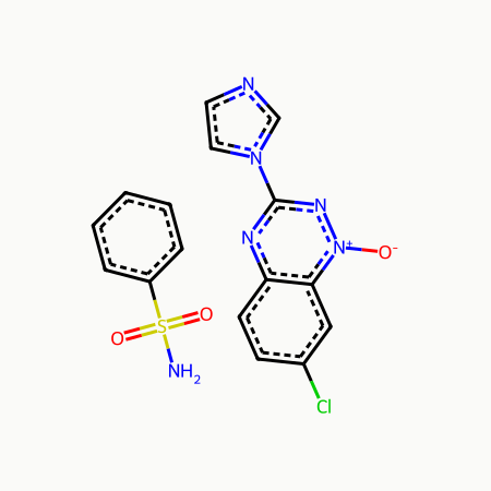 NS(=O)(=O)c1ccccc1.[O-][n+]1nc(-n2ccnc2)nc2ccc(Cl)cc21